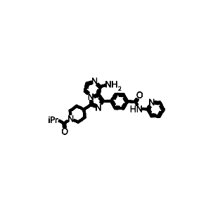 CC(C)C(=O)N1CCC(c2nc(-c3ccc(C(=O)Nc4ccccn4)cc3)c3c(N)nccn23)CC1